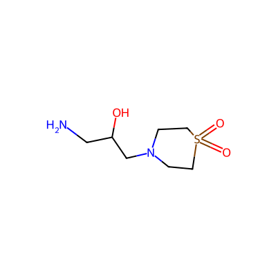 NCC(O)CN1CCS(=O)(=O)CC1